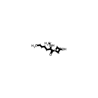 CCCCCC(NC)C(=O)N1CC(O)C1